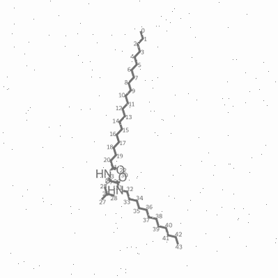 CCCCCCCCCCCCCCCCCCCCCC(=O)N[C@@H](CC(C)C)C(=O)NCCCCCCCCCCCC